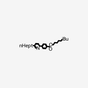 CCCCCCCc1ccc(-c2ccc(C(=O)OCCCCCC(C)CC)cc2)nc1